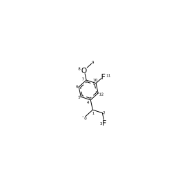 [CH2]C(CF)c1ccc(OC)c(F)c1